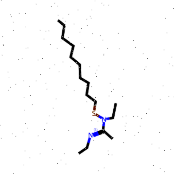 CCCCCCCCCCSN(CC)/C(C)=N/CC